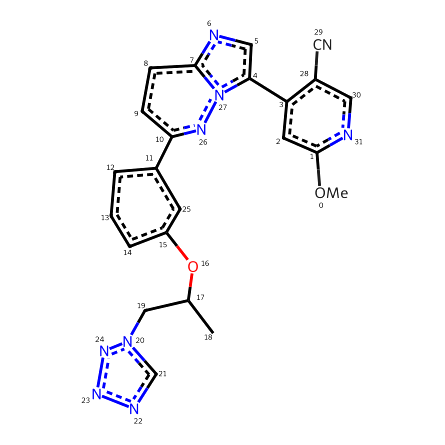 COc1cc(-c2cnc3ccc(-c4cccc(OC(C)Cn5cnnn5)c4)nn23)c(C#N)cn1